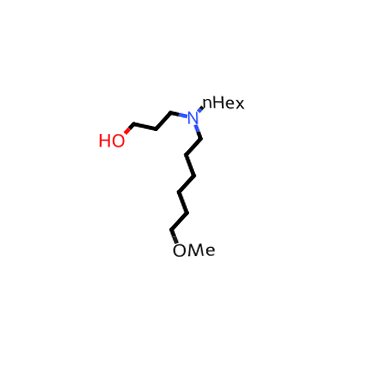 CCCCCCN(CCCO)CCCCCCOC